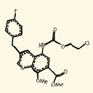 COC(=O)c1cc(NC(=O)OCCCl)c2cc(Cc3ccc(F)cc3)cnc2c1OC